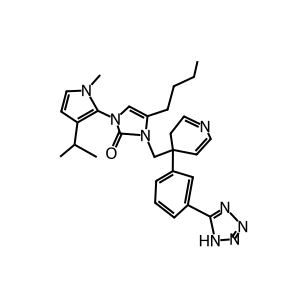 CCCCc1cn(-c2c(C(C)C)ccn2C)c(=O)n1CC1(c2cccc(-c3nnn[nH]3)c2)C=CN=CC1